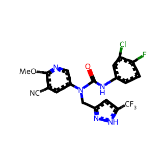 COc1ncc(N(Cc2cc(C(F)(F)F)[nH]n2)C(=O)Nc2ccc(F)c(Cl)c2)cc1C#N